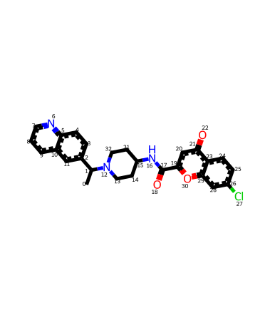 CC(c1ccc2ncccc2c1)N1CCC(NC(=O)c2cc(=O)c3ccc(Cl)cc3o2)CC1